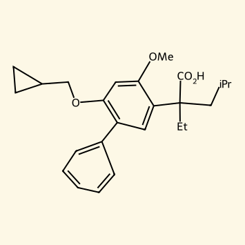 CCC(CC(C)C)(C(=O)O)c1cc(-c2ccccc2)c(OCC2CC2)cc1OC